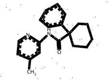 Cc1ccnc(NC(=O)C2(c3ccccc3)CCCCC2)c1